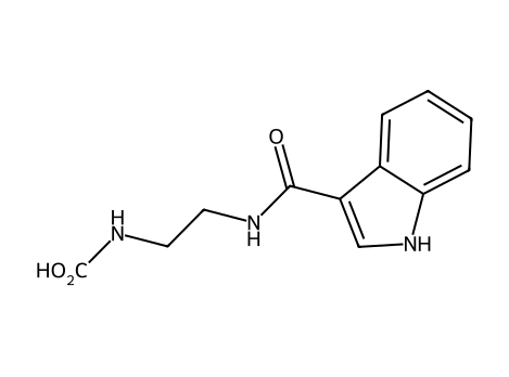 O=C(O)NCCNC(=O)c1c[nH]c2ccccc12